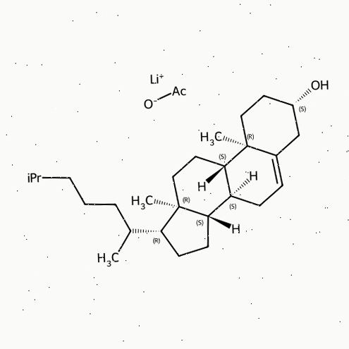 CC(=O)[O-].CC(C)CCCC(C)[C@H]1CC[C@H]2[C@@H]3CC=C4C[C@@H](O)CC[C@]4(C)[C@H]3CC[C@]12C.[Li+]